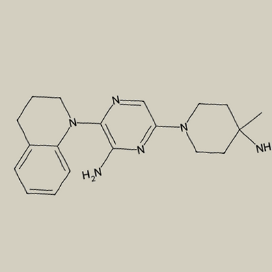 CC1(N)CCN(c2cnc(N3CCCc4ccccc43)c(N)n2)CC1